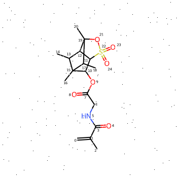 C=C(C)C(=O)NCC(=O)OC1C2C3C(C)C1(C)C(C)C3(C)OS2(=O)=O